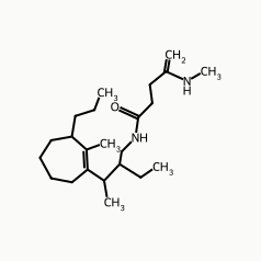 C=C(CCC(=O)NCC(CC)C(C)C1=C(C)C(CCC)CCCC1)NC